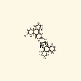 Cc1ccc2c(c1)c1ccc(Cc3cnc4c5ccccc5c5ccccc5c4n3)cc1c1ncccc21